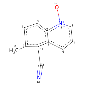 Cc1ccc2c(ccc[n+]2[O-])c1C#N